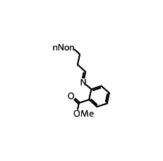 CCCCCCCCCCCC=Nc1ccccc1C(=O)OC